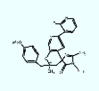 COc1ccc(C[C@]2(C)CC3(N=C(N)N(C)C3=O)c3cc(-c4cccnc4F)ncc3O2)cc1